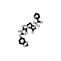 CCCC(NC(=O)Oc1ccc2c(c1)OCO2)C(=O)N1CCC2C1C(=O)CN2S(=O)(=O)C(=O)c1ccccn1